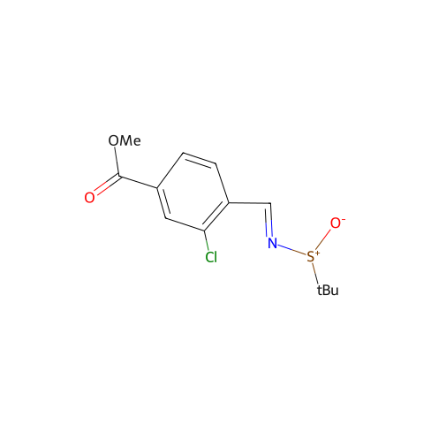 COC(=O)c1ccc(C=N[S+]([O-])C(C)(C)C)c(Cl)c1